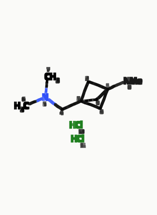 CNC12CC(CN(C)C)(C1)C2.Cl.Cl